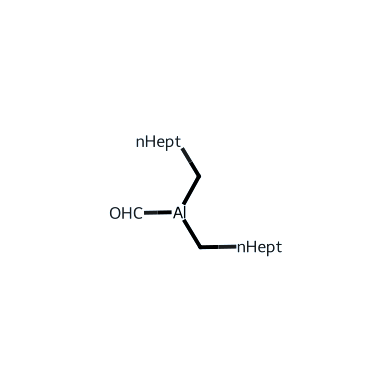 CCCCCCC[CH2][Al]([CH]=O)[CH2]CCCCCCC